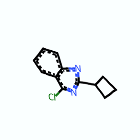 Clc1nc(C2CCC2)nc2ccccc12